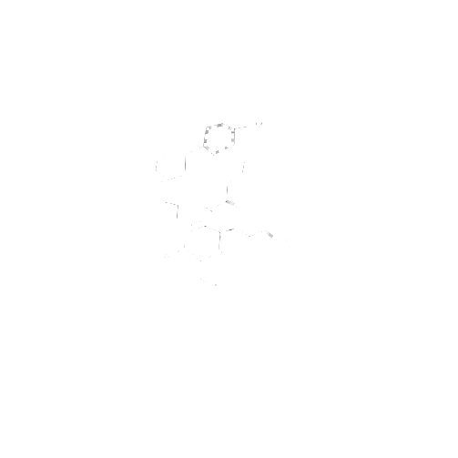 C=CCO[C@H]1O[C@H](CO)[C@@H](O)[C@H](OCC[C@H](CCCCCCCCCCC)OCc2ccc(OC)cc2)[C@@H]1NC(=O)OCC(Cl)(Cl)Cl